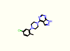 Cc1ccc(Cl)cc1N1CCN(c2ncnc3[nH]ncc23)CC1